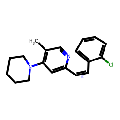 Cc1cnc(/C=C\c2ccccc2Cl)cc1N1CCCCC1